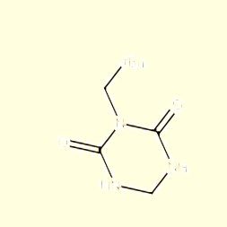 CC(C)(C)CN1C(=O)NCNC1=O